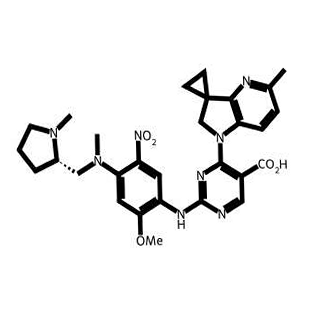 COc1cc(N(C)C[C@@H]2CCCN2C)c([N+](=O)[O-])cc1Nc1ncc(C(=O)O)c(N2CC3(CC3)c3nc(C)ccc32)n1